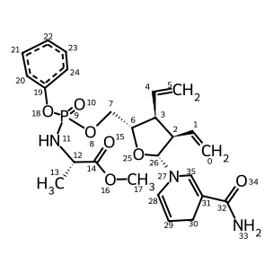 C=C[C@@H]1[C@H](C=C)[C@@H](COP(=O)(N[C@@H](C)C(=O)OC)Oc2ccccc2)O[C@H]1N1C=CCC(C(N)=O)=C1